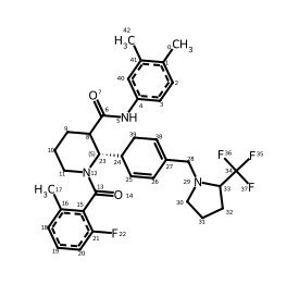 Cc1ccc(NC(=O)C2CCCN(C(=O)c3c(C)cccc3F)[C@H]2C2C=CC(CN3CCCC3C(F)(F)F)=CC2)cc1C